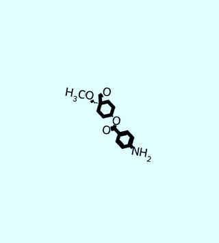 COC[C@]1(C=O)CC[C@H](OC(=O)c2ccc(N)cc2)CC1